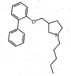 CCCCCN1CCC(COc2ccccc2-c2ccccc2)C1